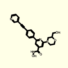 O=C(NO)c1cc(-c2ccc(C#Cc3cccnc3)cc2)nc(N2CCOC(CO)C2)c1